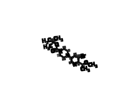 COC(C)c1ncc(N2CCN(C(=O)OC(C)(C)C)CC2)cc1Br